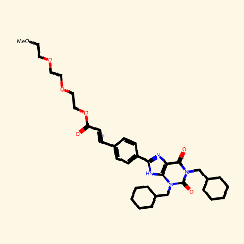 COCCOCCOCCOC(=O)/C=C/c1ccc(-c2nc3c(=O)n(CC4CCCCC4)c(=O)n(CC4CCCCC4)c3[nH]2)cc1